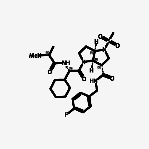 CN[C@@H](C)C(=O)N[C@H](C(=O)N1CC[C@@H]2[C@H]1[C@@H](C(=O)NCc1ccc(F)cc1)CN2S(C)(=O)=O)C1CCCCC1